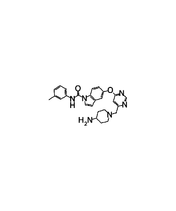 Cc1cccc(NC(=O)n2ccc3cc(Oc4cc(CN5CCC(N)CC5)ncn4)ccc32)c1